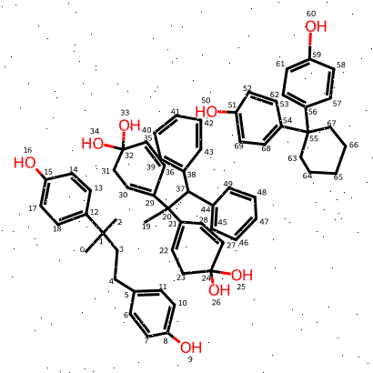 CC(C)(CCc1ccc(O)cc1)c1ccc(O)cc1.CC(C1=CCC(O)(O)C=C1)(C1=CCC(O)(O)C=C1)C(c1ccccc1)c1ccccc1.Oc1ccc(C2(c3ccc(O)cc3)CCCCC2)cc1